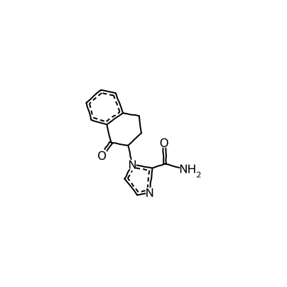 NC(=O)c1nccn1C1CCc2ccccc2C1=O